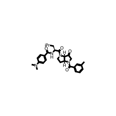 Cc1cccc(C(=O)N2CC(=O)[C@@H]3[C@H]2CCN3C(=O)[C@H](CC(C)C)NC(=O)c2ccc(N(C)C)cc2)c1